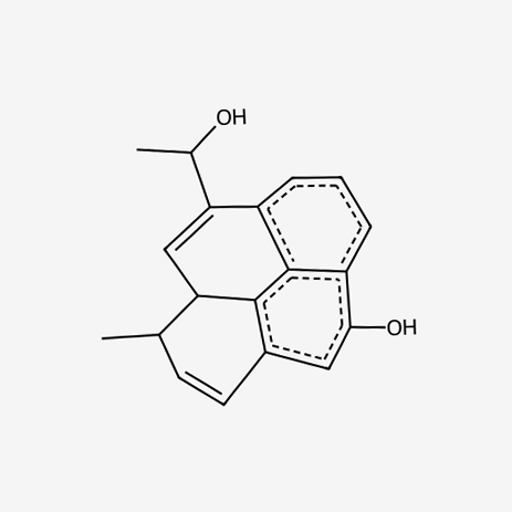 CC(O)C1=CC2c3c(cc(O)c4cccc1c34)C=CC2C